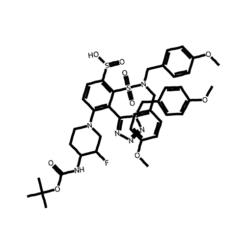 COc1ccc(CN(Cc2ccc(OC)cc2)S(=O)(=O)c2c(S(=O)O)ccc(N3CCC(NC(=O)OC(C)(C)C)C(F)C3)c2-c2nnnn2Cc2ccc(OC)cc2)cc1